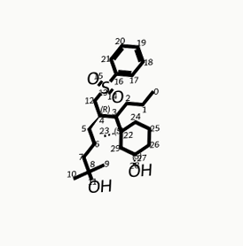 CCCC([C@@H](CCCC(C)(C)O)CS(=O)(=O)c1ccccc1)[C@@]1(C)CCC[C@H](O)C1